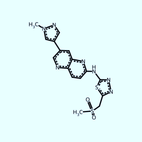 Cn1cc(-c2cnc3ccc(Nc4nnc(CS(C)(=O)=O)s4)nc3c2)cn1